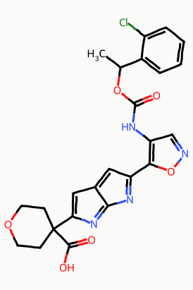 CC(OC(=O)Nc1cnoc1C1=NC2=NC(C3(C(=O)O)CCOCC3)=CC2=C1)c1ccccc1Cl